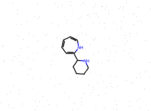 C1=CC=C(C2CCCCN2)NC=C1